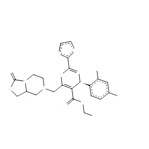 CCOC(=O)C1=C(CN2CCN3C(=O)NC[C@@H]3C2)NC(c2nccs2)=N[C@H]1c1ccc(F)cc1Br